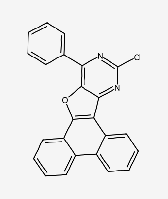 Clc1nc(-c2ccccc2)c2oc3c4ccccc4c4ccccc4c3c2n1